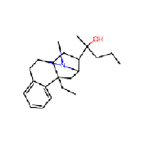 CCCC(C)(O)C1CC2C3Cc4ccccc4C2(CC)CC1N3C